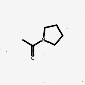 CC(=O)N1CCCC1